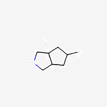 CC(C)C1CC2CNC[C@H]2C1